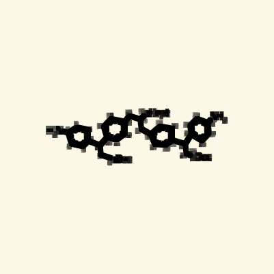 CCCCCCCCCCCC(c1ccc(N)cc1)c1ccc(CC(CCCCCCC)Cc2ccc(C(CCCCCCCCCCC)c3ccc(N)cc3)cc2)cc1